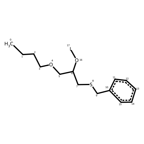 CCCCOCC(CSCc1ccccc1)OI